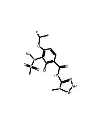 CCN(c1c(OC(F)F)ccc(C(=O)NC2=NNNN2C)c1Cl)S(C)(=O)=O